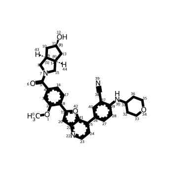 COc1cc(C(=O)N2C[C@H]3C[C@@H](O)C[C@H]3C2)ccc1-c1cc2nccc(-c3ccc(NC4CCOCC4)c(C#N)c3)c2o1